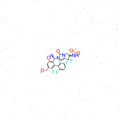 COCc1cc2onc(-n3cc4n(c3=O)C[C@@H](NS(C)(=O)=O)C4(F)F)c2c(-c2c(F)cccc2F)c1F